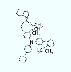 C=C1/C=C(n2ccc3ccccc32)\C=C/Cc2ccc(N(c3ccc(-c4ccccc4)cc3)c3ccc4c(c3)C(C)(C)c3ccccc3-4)cc2C1(C)C